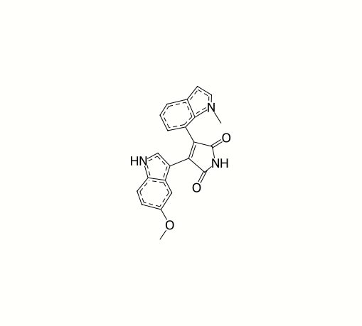 COc1ccc2[nH]cc(C3=C(c4cccc5ccn(C)c45)C(=O)NC3=O)c2c1